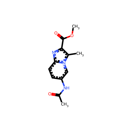 COC(=O)c1nc2ccc(NC(C)=O)cn2c1C